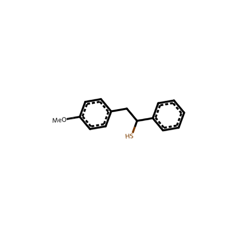 COc1ccc(CC(S)c2ccccc2)cc1